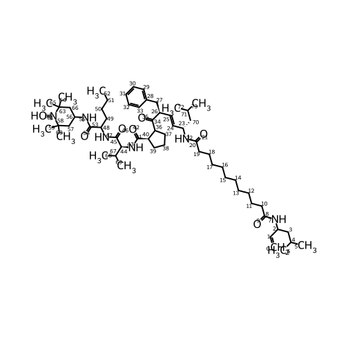 C=CC(CC(C)C)NC(=O)CCCCCCCCCCC(=O)N[C@H](/C=C/[C@H](Cc1ccccc1)C(=O)C1CCC[C@H]1C(=O)N[C@H](C(=O)NC(CCCC)C(=O)NC1CC(C)(C)N(O)C(C)(C)C1)C(C)C)CC(C)C